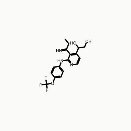 CCC(=N)c1c(C(O)CO)ccnc1Nc1ccc(OC(F)(F)F)cc1